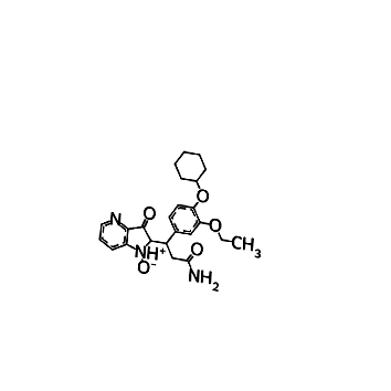 CCOc1cc(C(CC(N)=O)C2C(=O)c3ncccc3[NH+]2[O-])ccc1OC1CCCCC1